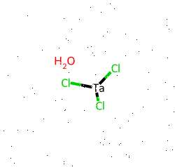 O.[Cl][Ta]([Cl])[Cl]